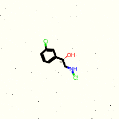 O[C@H](CNCl)c1cccc(Cl)c1